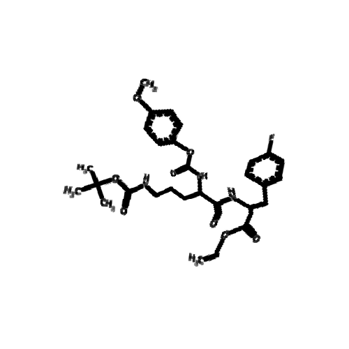 CCOC(=O)C(Cc1ccc(F)cc1)NC(=O)C(CCCNC(=O)OC(C)(C)C)NC(=O)Oc1ccc(OC)cc1